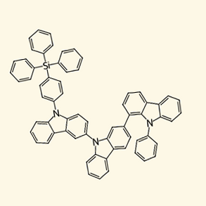 c1ccc(-n2c3ccccc3c3cccc(-c4ccc5c6ccccc6n(-c6ccc7c(c6)c6ccccc6n7-c6ccc([Si](c7ccccc7)(c7ccccc7)c7ccccc7)cc6)c5c4)c32)cc1